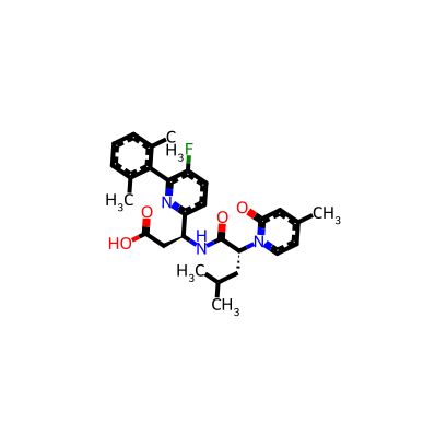 Cc1ccn([C@H](CC(C)C)C(=O)N[C@@H](CC(=O)O)c2ccc(F)c(-c3c(C)cccc3C)n2)c(=O)c1